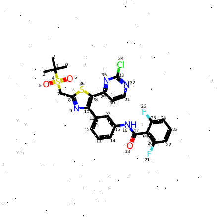 CC(C)(C)S(=O)(=O)Cc1nc(-c2cccc(NC(=O)c3c(F)cccc3F)c2)c(-c2ccnc(Cl)n2)s1